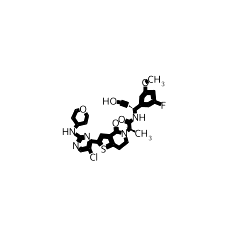 COc1cc(F)cc([C@@H](C#CO)NC(=O)[C@@H](C)N2CCc3sc(-c4nc(NC5CCOCC5)ncc4Cl)cc3C2=O)c1